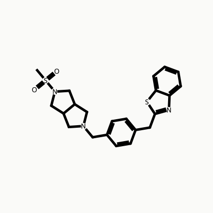 CS(=O)(=O)N1CC2CN(Cc3ccc(Cc4nc5ccccc5s4)cc3)CC2C1